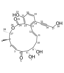 C[C@@H]1/C=C\C(=O)[C@@H](O)[C@@H](O)C/C=C/c2c(C#CCO)ccc(O)c2C(=O)O[C@H]1C